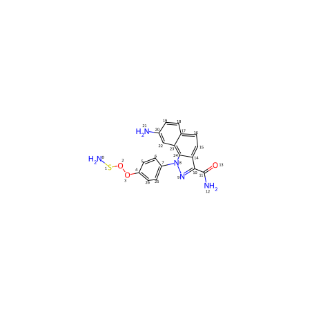 NSOOc1ccc(-n2nc(C(N)=O)c3ccc4ccc(N)cc4c32)cc1